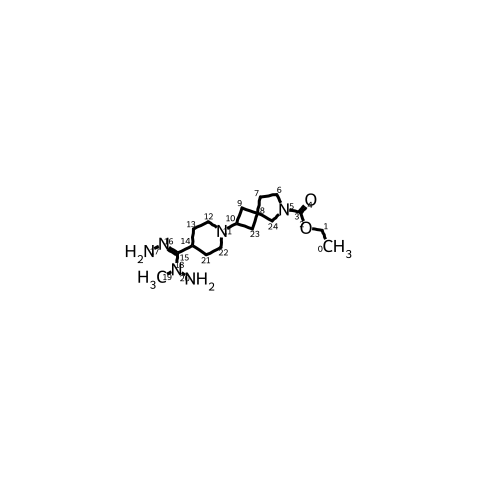 CCOC(=O)N1CCC2(CC(N3CCC(/C(=N/N)N(C)N)CC3)C2)C1